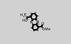 COC(=O)c1cccc2nc3c([C@@H](C)O)cccc3nc12